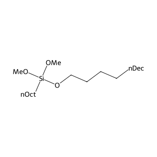 CCCCCCCCCCCCCCO[Si](CCCCCCCC)(OC)OC